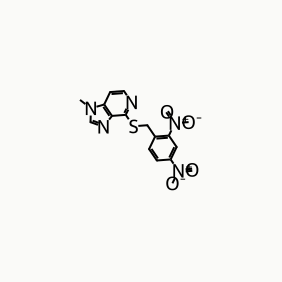 Cn1cnc2c(SCc3ccc([N+](=O)[O-])cc3[N+](=O)[O-])nccc21